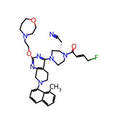 Cc1cccc2cccc(N3CCc4c(nc(OCCN5CCCOCC5)nc4N4CCN(C(=O)/C=C/CF)[C@@H](CC#N)C4)C3)c12